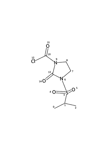 CC(C)S(=O)(=O)N1CCN(C(=O)Cl)C1=O